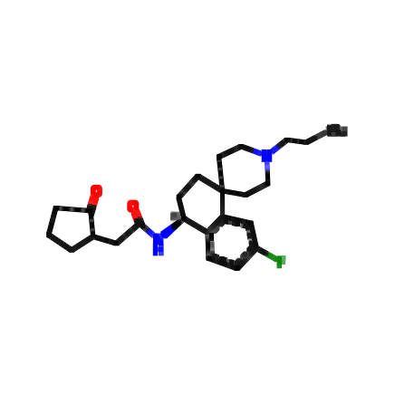 CC(C)(C)CCN1CCC2(CC[C@H](NC(=O)CC3CCCC3=O)c3ccc(F)cc32)CC1